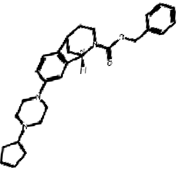 O=C(OCc1ccccc1)N1CCC2C[C@H]1c1cc(N3CCN(C4CCCC4)CC3)ccc12